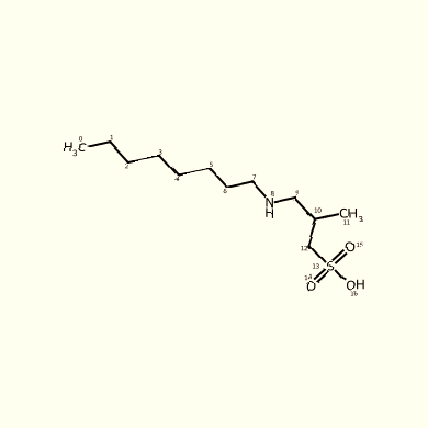 CCCCCCCCNCC(C)CS(=O)(=O)O